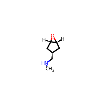 CNC[C@H]1C[C@@H]2O[C@@H]2C1